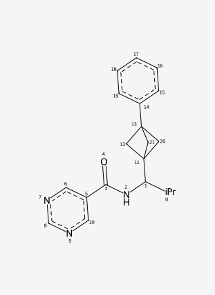 CC(C)C(NC(=O)c1cncnc1)C12CC(c3ccccc3)(C1)C2